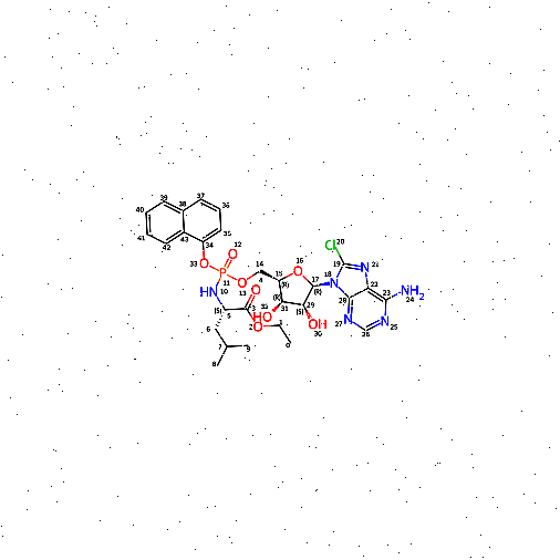 CCOC(=O)[C@H](CC(C)C)NP(=O)(OC[C@H]1O[C@@H](n2c(Cl)nc3c(N)ncnc32)[C@@H](O)[C@H]1O)Oc1cccc2ccccc12